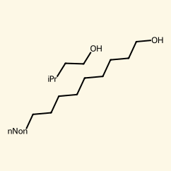 CC(C)CCO.CCCCCCCCCCCCCCCCCCO